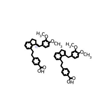 COc1ccc(/C=C2\CCc3cccc(CCc4ccc(C(=O)O)cc4)c32)cc1OC.COc1ccc(CC2=CCc3cccc(CCc4ccc(C(=O)O)cc4)c32)cc1OC